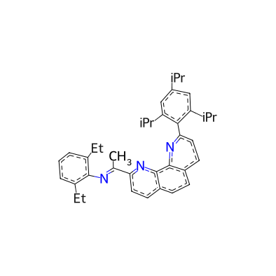 CCc1cccc(CC)c1N=C(C)c1ccc2ccc3ccc(-c4c(C(C)C)cc(C(C)C)cc4C(C)C)nc3c2n1